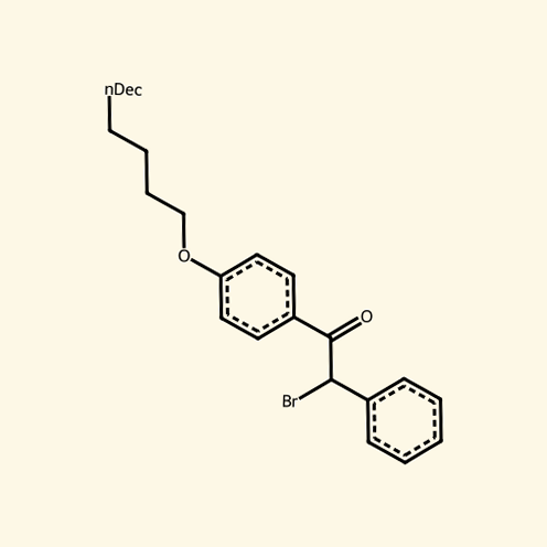 CCCCCCCCCCCCCCOc1ccc(C(=O)C(Br)c2ccccc2)cc1